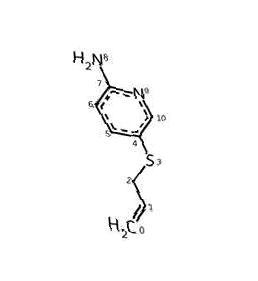 C=CCSc1ccc(N)nc1